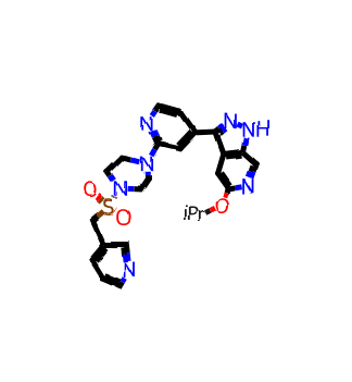 CC(C)Oc1cc2c(-c3ccnc(N4CCN(S(=O)(=O)Cc5cccnc5)CC4)c3)n[nH]c2cn1